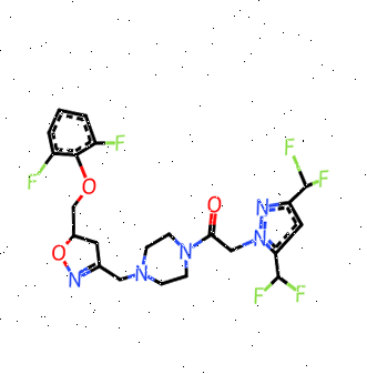 O=C(Cn1nc(C(F)F)cc1C(F)F)N1CCN(CC2=NOC(COc3c(F)cccc3F)C2)CC1